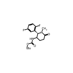 CN1C(=O)CCC(NC(=O)OC(C)(C)C)[C@H]1c1cc(F)ccc1F